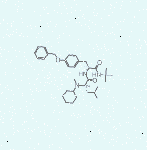 CC(C)C[C@@H](C(=O)N[C@@H](Cc1ccc(OCc2ccccc2)cc1)C(=O)NC(C)(C)C)N(C)C1CCCCC1